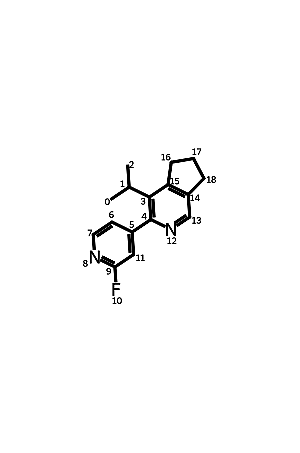 CC(C)c1c(-c2ccnc(F)c2)ncc2c1CCC2